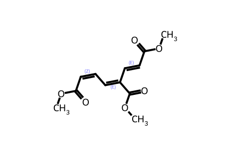 COC(=O)\C=C/C=C(\C=C\C(=O)OC)C(=O)OC